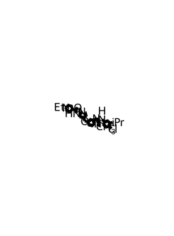 CCN1CCC(C(=O)Nc2cc(Oc3ccc4c(c3)nc(Nc3ccc(Cl)c(C(C)C)c3)n4C)ccn2)CC1